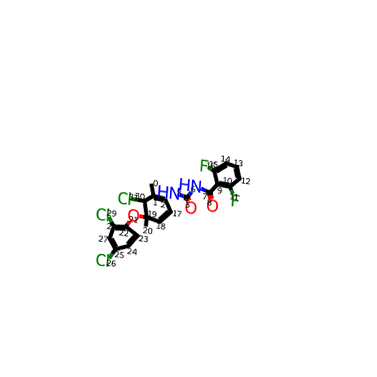 CC1=C(NC(=O)NC(=O)c2c(F)cccc2F)C=CC(C)(Oc2ccc(Cl)cc2Cl)C1Cl